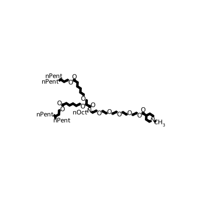 CCCCCCCCN(CCOCCOCCOCCOCCOC(=O)C1CCN(C)CC1)C(=O)C(COCCCCCC(=O)OCCC(CCCCC)CCCCC)OCCCCCC(=O)OCCC(CCCCC)CCCCC